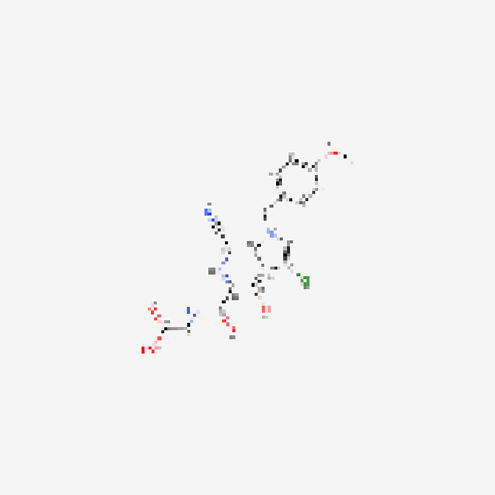 COc1ccc(Cn2cc(Cl)c3c(O)c(C(=O)NCC(=O)O)nc(C#N)c32)cc1